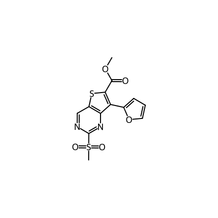 COC(=O)c1sc2cnc(S(C)(=O)=O)nc2c1-c1ccco1